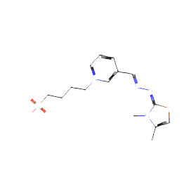 Cc1csc(=NN=Cc2ccc[n+](CCCCS(=O)(=O)[O-])c2)n1C